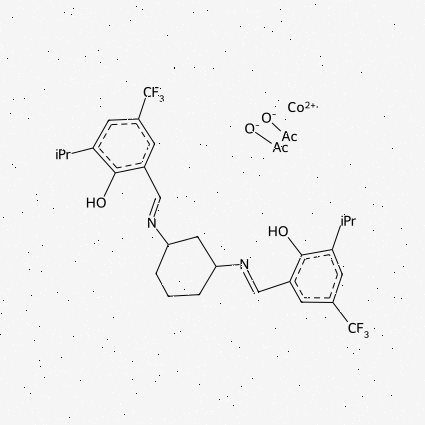 CC(=O)[O-].CC(=O)[O-].CC(C)c1cc(C(F)(F)F)cc(C=NC2CCCC(N=Cc3cc(C(F)(F)F)cc(C(C)C)c3O)C2)c1O.[Co+2]